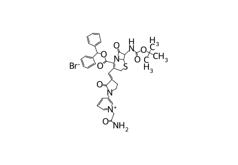 CC(C)(C)OC(=O)NC1C(=O)N2C(C(=O)OC(c3ccccc3)c3ccccc3)=C(C=C3CCN(c4ccc[n+](CC(N)=O)c4)C3=O)CSC12.[Br-]